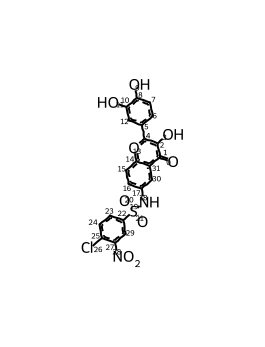 O=c1c(O)c(-c2ccc(O)c(O)c2)oc2ccc(NS(=O)(=O)c3ccc(Cl)c([N+](=O)[O-])c3)cc12